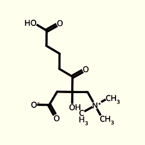 C[N+](C)(C)CC(O)(CC(=O)[O-])C(=O)CCCC(=O)O